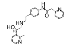 Cc1ncccc1[C@@H](O)CNCCc1ccc(NC(=O)Cc2ccccn2)cc1